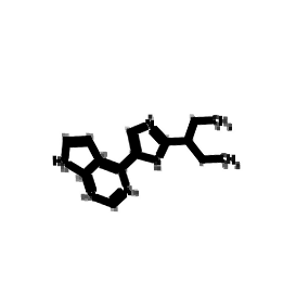 CCC(CC)c1ncc(-c2ncnc3[nH]ccc23)s1